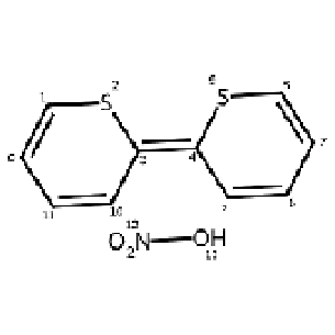 C1=CSC(=C2C=CC=CS2)C=C1.O=[N+]([O-])O